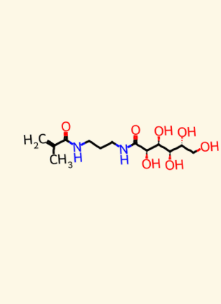 C=C(C)C(=O)NCCCNC(=O)[C@H](O)[C@@H](O)[C@H](O)[C@H](O)CO